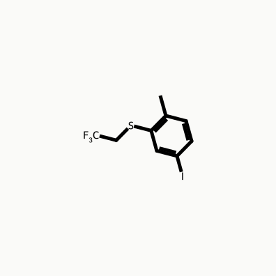 Cc1ccc(I)cc1SCC(F)(F)F